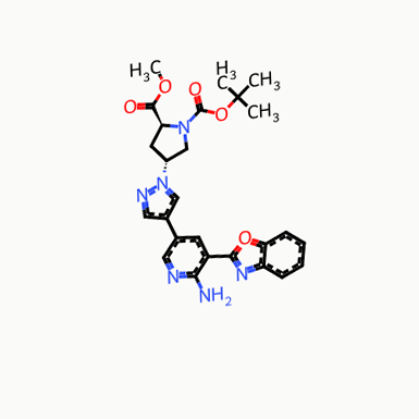 COC(=O)[C@@H]1C[C@@H](n2cc(-c3cnc(N)c(-c4nc5ccccc5o4)c3)cn2)CN1C(=O)OC(C)(C)C